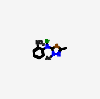 CC(=O)N1N=C(C)SC1N(Br)c1ccccc1[N+](=O)[O-]